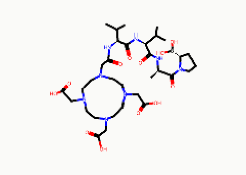 CC(C)[C@H](NC(=O)CN1CCN(CC(=O)O)CCN(CC(=O)O)CCN(CC(=O)O)CC1)C(=O)N[C@H](C(=O)N[C@H](C)C(=O)N1CCC[C@H]1B(O)O)C(C)C